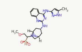 COCC(C1C[C@H]2C[C@H](Nc3nc(Nc4cc(C)[nH]n4)c4ccccc4n3)C[C@@H]1N2)[SH](=O)=O